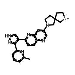 Cc1cccc(-c2n[nH]cc2-c2ccc3ncc(N4CCC5(CCNC5)C4)cc3n2)n1